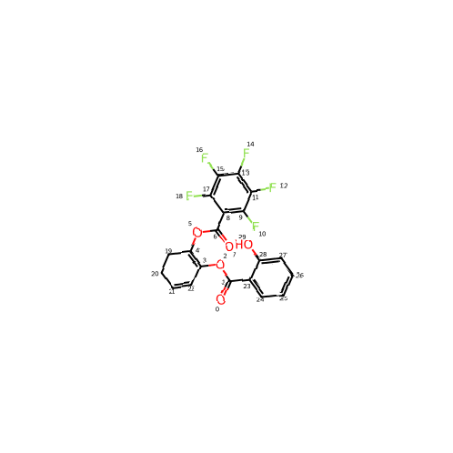 O=C(OC1=C(OC(=O)c2c(F)c(F)c(F)c(F)c2F)CCC=C1)c1ccccc1O